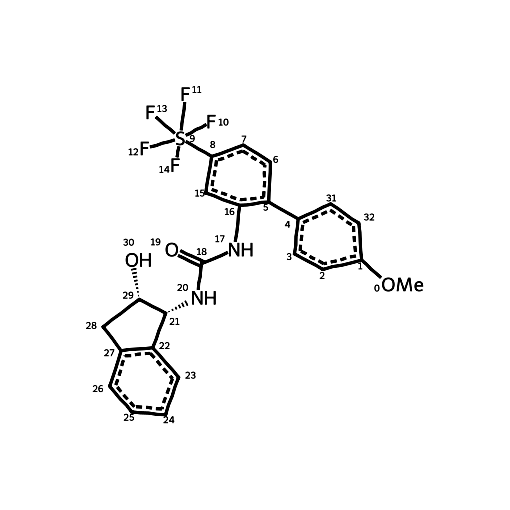 COc1ccc(-c2ccc(S(F)(F)(F)(F)F)cc2NC(=O)N[C@@H]2c3ccccc3C[C@@H]2O)cc1